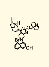 Oc1cc(N2CCc3c(nc(OCC45CCCN4CCC5)nc3[C@H]3CCC4CN[C@H](C4)C3)C2)c2c(Br)cccc2c1